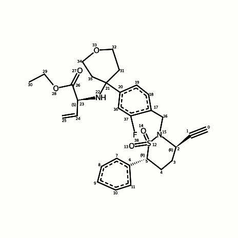 C#C[C@H]1CC[C@H](c2ccccc2)S(=O)(=O)N1Cc1ccc(C2(N[C@@H](C=C)C(=O)OCC)CCOCC2)cc1F